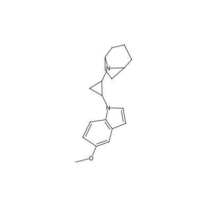 COc1ccc2c(ccn2C2CC2N2C3CCCC2CC3)c1